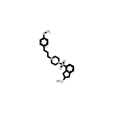 O=C(O)C1Cc2cccc(S(=O)(=O)N3CCN(CCCc4ccc(OC(F)(F)F)cc4)CC3)c2C1